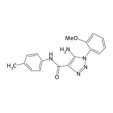 COc1ccccc1-n1nnc(C(=O)Nc2ccc(C)cc2)c1N